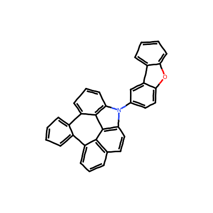 c1ccc2c(c1)-c1cccc3ccc4c(c13)c1c-2cccc1n4-c1ccc2oc3ccccc3c2c1